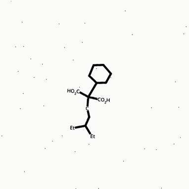 CCC(CC)CCC(C(=O)O)(C(=O)O)C1CCCCC1